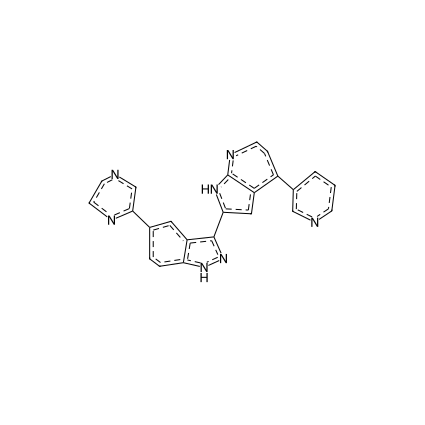 c1cncc(-c2ccnc3[nH]c(-c4n[nH]c5ccc(-c6cnccn6)cc45)cc23)c1